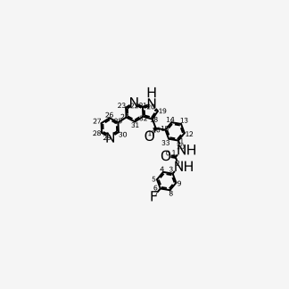 O=C(Nc1ccc(F)cc1)Nc1cccc(C(=O)c2c[nH]c3ncc(-c4cccnc4)cc23)c1